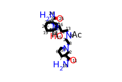 CC(=O)N(CCN1CCCC(C(N)=O)C1)CC(O)CN1[C@@H]2C[CH]C[C@@]1(C(N)=O)CC2